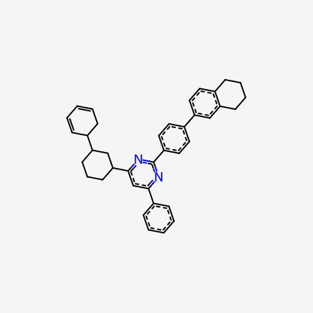 C1=CCC(C2CCCC(c3cc(-c4ccccc4)nc(-c4ccc(-c5ccc6c(c5)CCCC6)cc4)n3)C2)C=C1